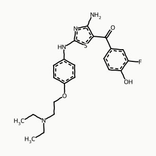 CCN(CC)CCOc1ccc(Nc2nc(N)c(C(=O)c3ccc(O)c(F)c3)s2)cc1